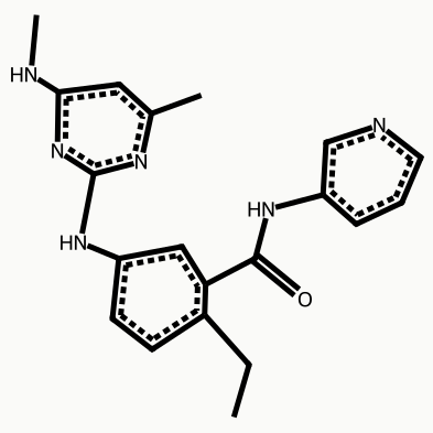 CCc1ccc(Nc2nc(C)cc(NC)n2)cc1C(=O)Nc1cccnc1